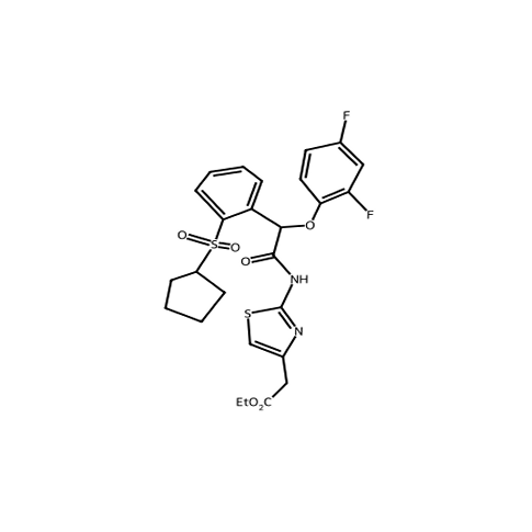 CCOC(=O)Cc1csc(NC(=O)C(Oc2ccc(F)cc2F)c2ccccc2S(=O)(=O)C2CCCC2)n1